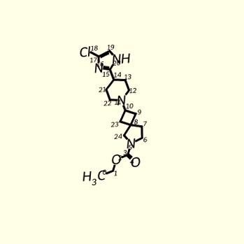 CCOC(=O)N1CCC2(CC(N3CCC(c4nc(Cl)c[nH]4)CC3)C2)C1